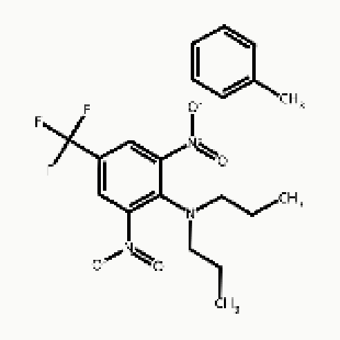 CCCN(CCC)c1c([N+](=O)[O-])cc(C(F)(F)F)cc1[N+](=O)[O-].Cc1ccccc1